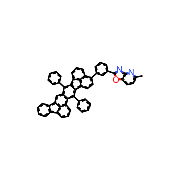 Cc1ccc2oc(-c3cccc(-c4ccc5c6c(-c7ccccc7)c7c(cc8c9ccccc9c9cccc7c98)c(-c7ccccc7)c6c6cccc4c65)c3)nc2n1